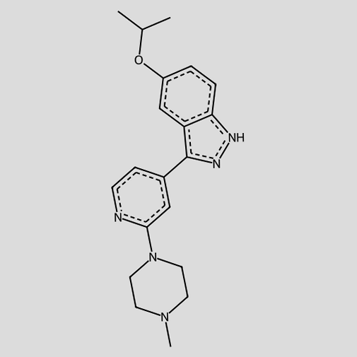 CC(C)Oc1ccc2[nH]nc(-c3ccnc(N4CCN(C)CC4)c3)c2c1